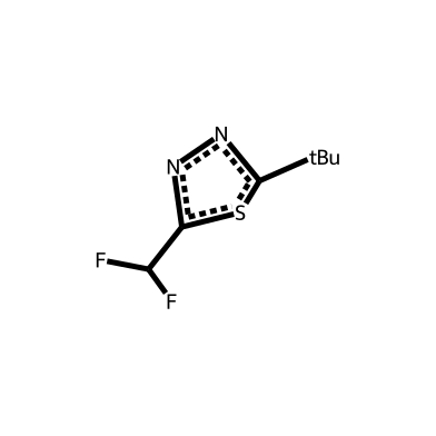 CC(C)(C)c1nnc(C(F)F)s1